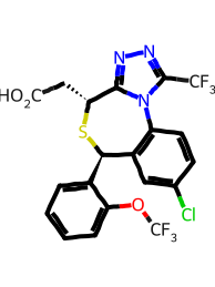 O=C(O)C[C@H]1S[C@H](c2ccccc2OC(F)(F)F)c2cc(Cl)ccc2-n2c1nnc2C(F)(F)F